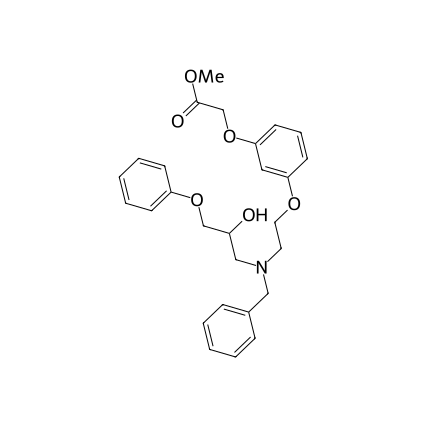 COC(=O)COc1cccc(OCCN(Cc2ccccc2)CC(O)COc2ccccc2)c1